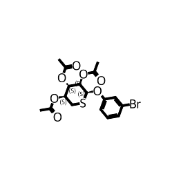 CC(=O)O[C@@H]1[C@@H](OC(C)=O)[C@@H](Oc2cccc(Br)c2)SC[C@H]1OC(C)=O